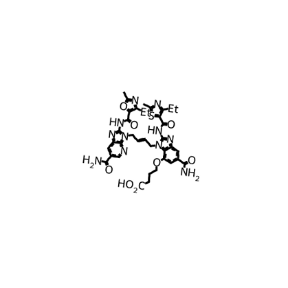 CCc1nc(C)oc1C(=O)Nc1nc2cc(C(N)=O)cnc2n1C/C=C/Cn1c(NC(=O)c2sc(C)nc2CC)nc2cc(C(N)=O)cc(OCCCC(=O)O)c21